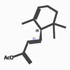 C=C(/C=C/[C@H]1C(C)=CCCC1(C)C)OC(C)=O